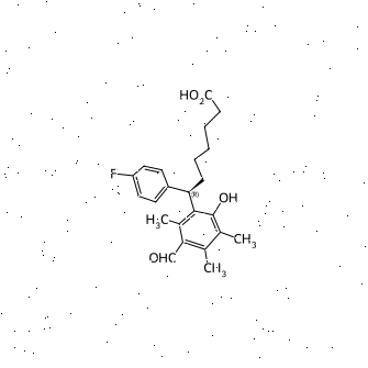 Cc1c(C)c(C=O)c(C)c([C@H](CCCCCC(=O)O)c2ccc(F)cc2)c1O